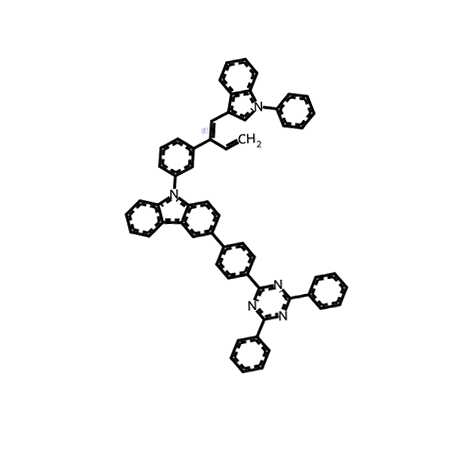 C=C/C(=C\c1cn(-c2ccccc2)c2ccccc12)c1cccc(-n2c3ccccc3c3cc(-c4ccc(-c5nc(-c6ccccc6)nc(-c6ccccc6)n5)cc4)ccc32)c1